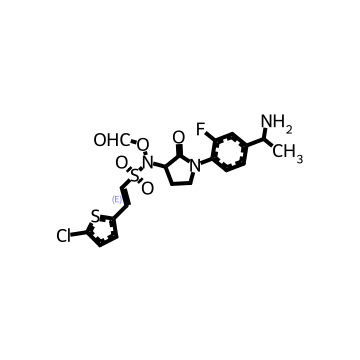 CC(N)c1ccc(N2CCC(N(OC=O)S(=O)(=O)/C=C/c3ccc(Cl)s3)C2=O)c(F)c1